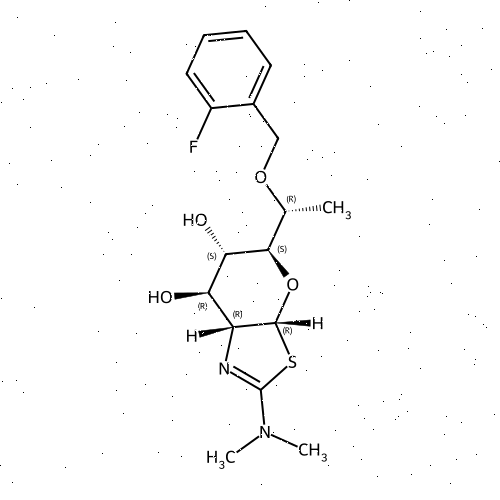 C[C@@H](OCc1ccccc1F)[C@H]1O[C@@H]2SC(N(C)C)=N[C@@H]2[C@@H](O)[C@@H]1O